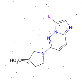 O=C(O)[C@@H]1CCN(c2ccc3ncc(I)n3n2)C1